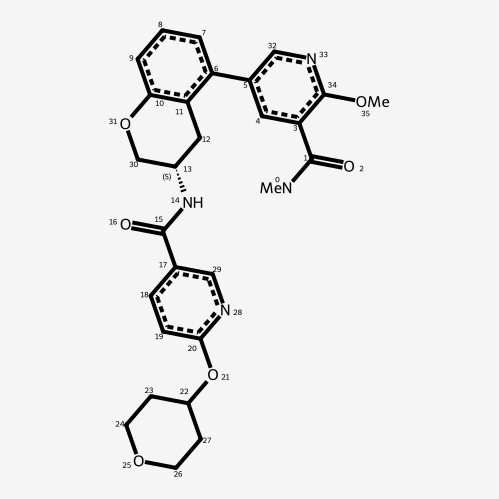 CNC(=O)c1cc(-c2cccc3c2C[C@H](NC(=O)c2ccc(OC4CCOCC4)nc2)CO3)cnc1OC